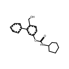 O=C(NC1CCCCC1)Oc1ccc(CO)c(-c2ccccc2)c1